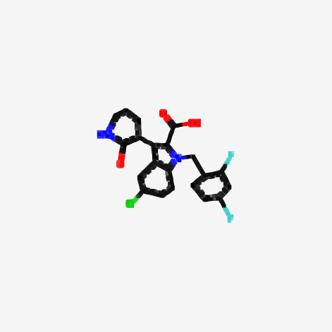 O=C(O)c1c(-c2ccc[nH]c2=O)c2cc(Cl)ccc2n1Cc1ccc(F)cc1F